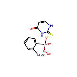 CC(=O)Nc1ccccc1[As](=O)(O)OO.O=c1cc[nH]c(=S)[nH]1